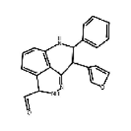 O=CC1NN=C2c3c(cccc31)NC(c1ccccc1)C2c1ccoc1